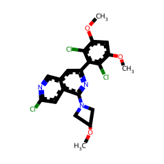 COc1cc(OC)c(Cl)c(-c2cc3cnc(Cl)cc3c(N3CC(OC)C3)n2)c1Cl